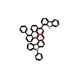 c1ccc(-c2ccccc2-c2c(-c3ccccc3)cccc2N(c2ccc(-c3cccc4c3sc3ccccc34)cc2)c2cccc3c2c2ccccc2n3-c2ccccc2)cc1